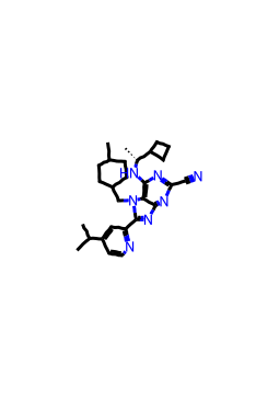 CC1CCC(Cn2c(-c3cc(C(C)C)ccn3)nc3nc(C#N)nc(N[C@H](C)C4CCC4)c32)CC1